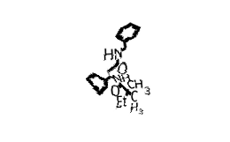 CCC(C)(C)C(=O)N[C@@H](CC(=O)NCc1ccccc1)c1ccccc1